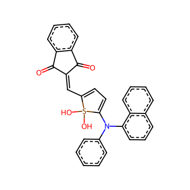 O=C1C(=CC2=CC=C(N(c3ccccc3)c3cccc4ccccc34)S2(O)O)C(=O)c2ccccc21